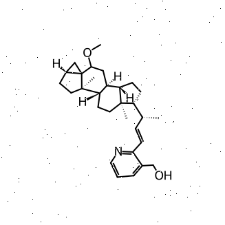 COC1C[C@H]2[C@@H]3CC[C@H]([C@H](C)/C=C/c4ncccc4CO)[C@@]3(C)CC[C@@H]2[C@@]2(C)CC[C@@H]3CC132